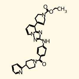 CCOC(=O)N1CC=C(c2cccn3nc(Nc4ccc(C(=O)N5CCC(c6ccccn6)CC5)cc4)nc23)CC1